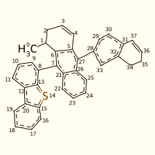 CC1CC=Cc2c1c(-c1cccc3c1sc1ccccc13)c1ccccc1c2-c1ccc2c(c1)CCC=C2